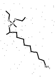 CCO[Si](C)(OCC)OC(C)CCCCCCCCCN